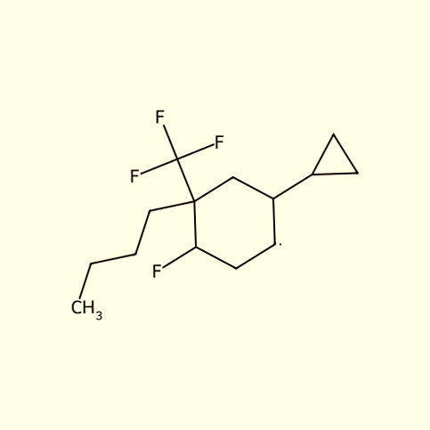 CCCCC1(C(F)(F)F)CC(C2CC2)[CH]CC1F